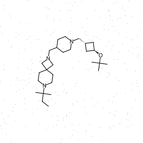 CCC(C)(C)N1CCC2(CC1)CN(CC1CCN(C[C@H]3C[C@H](OC(C)(C)C)C3)CC1)C2